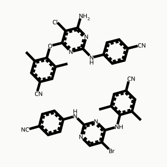 Cc1cc(C#N)cc(C)c1Nc1nc(Nc2ccc(C#N)cc2)ncc1Br.Cc1cc(C#N)cc(C)c1Oc1nc(Nc2ccc(C#N)cc2)nc(N)c1Cl